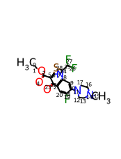 CCOC(=O)c1c2n(c3cc(N4CCN(C)CC4)c(F)cc3c1=O)C(C(F)F)S2